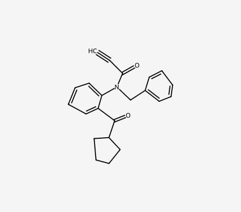 C#CC(=O)N(Cc1ccccc1)c1ccccc1C(=O)C1CCCC1